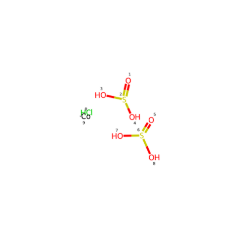 Cl.O=S(O)O.O=S(O)O.[Co]